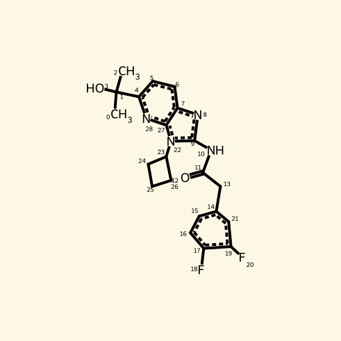 CC(C)(O)c1ccc2nc(NC(=O)Cc3ccc(F)c(F)c3)n(C3CCC3)c2n1